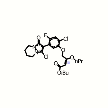 CCCO/C(=C/C(=O)OCC(C)C)COc1cc(-c2c(Cl)n3n(c2=O)CCCC3)c(F)cc1Cl